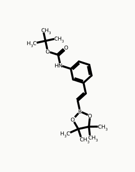 CC(C)(C)OC(=O)Nc1cccc(/C=C/B2OC(C)(C)C(C)(C)O2)c1